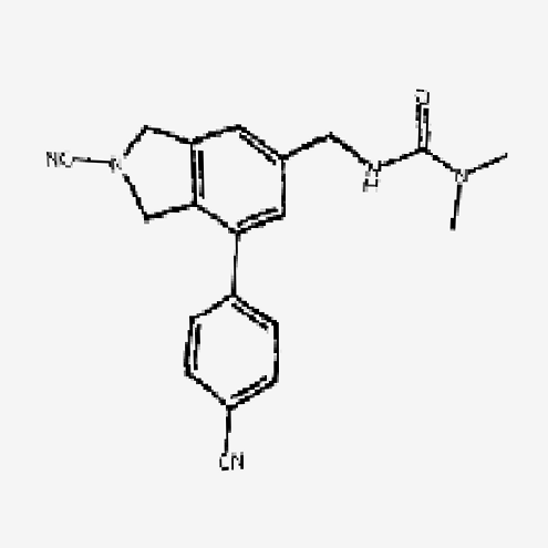 CN(C)C(=O)NCc1cc2c(c(-c3ccc(C#N)cc3)c1)CN(C#N)C2